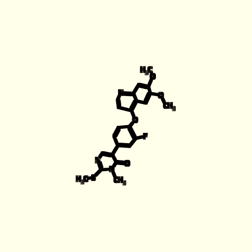 COc1cc2nccc(Oc3ccc(-c4cnc(SC)n(C)c4=O)cc3F)c2cc1OC